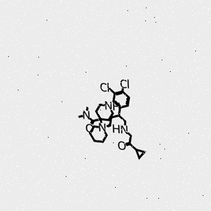 CN(C)C(=O)C1([N+]2(CCC(CNCC(=O)C3CC3)c3ccc(Cl)c(Cl)c3)CCCCC2)CCNCC1